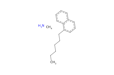 C.CCCCCCc1cccc2ccccc12.N